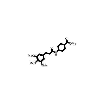 COC(=O)C1CCC(NC(=O)CCc2cc(OC)c(OC)c(OC)c2)CC1